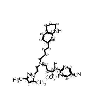 Cc1cc(C)n(CCN(CCCCc2ccc3c(n2)NCCC3)CC[C@H](Nc2ncc(C#N)cn2)C(=O)O)n1